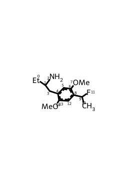 CCC(N)Cc1cc(OC)c(C(C)F)cc1OC